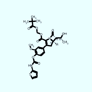 COc1cc(C2=C(C(=O)OCOC(=O)C(C)(C)C)N3C(=O)[C@H]([C@@H](C)O)[C@H]3C2)ccc1OC(=O)Nc1cccs1